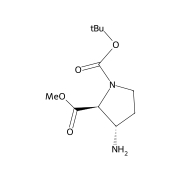 COC(=O)[C@@H]1[C@@H](N)CCN1C(=O)OC(C)(C)C